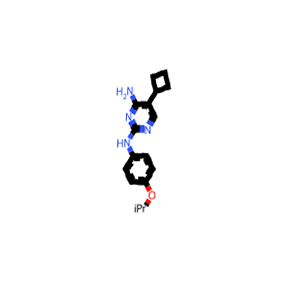 CC(C)Oc1ccc(Nc2ncc(C3CCC3)c(N)n2)cc1